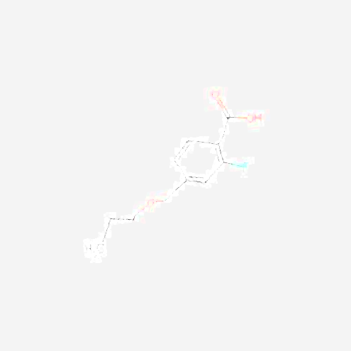 CCCOCc1ccc(C(=O)O)c(F)c1